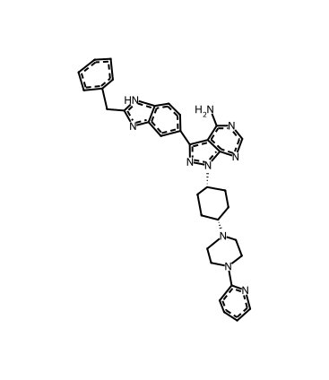 Nc1ncnc2c1c(-c1ccc3[nH]c(Cc4ccccc4)nc3c1)nn2[C@H]1CC[C@@H](N2CCN(c3ccccn3)CC2)CC1